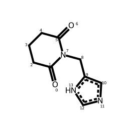 O=C1CCCC(=O)N1Cc1cnc[nH]1